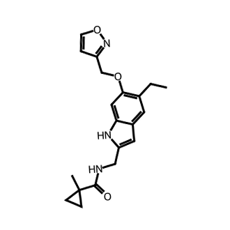 CCc1cc2cc(CNC(=O)C3(C)CC3)[nH]c2cc1OCc1ccon1